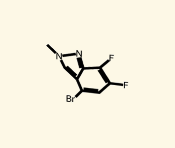 Cn1cc2c(Br)cc(F)c(F)c2n1